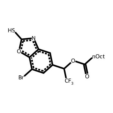 CCCCCCCCC(=O)OC(c1cc(Br)c2oc(S)nc2c1)C(F)(F)F